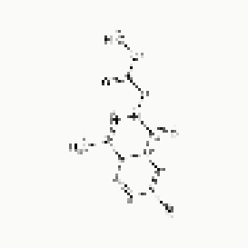 COC(=O)CN1N=C(C)C2C=CC(Br)=CC2C1=O